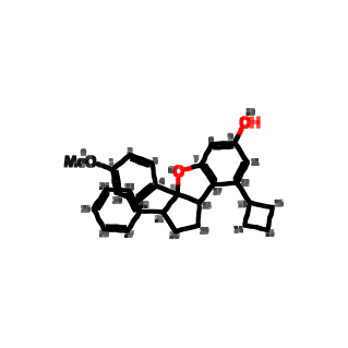 COc1ccc(C23Oc4cc(O)cc(C5CCC5)c4C2CCC3c2ccccc2)cc1